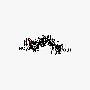 CC(C)C[C@H](NC(=O)[C@H](CC(N)=O)NC(=O)[C@H](CCC(N)=O)NC(=O)CNC(=O)[C@H](CO)NC(=O)[C@H](CCC(=O)O)NC(=O)[C@@H](NC(=O)[C@@H](N)CS)[C@@H](C)O)C(=O)N[C@@H](CS)C(=O)N[C@@H](CC(C)C)C(=O)N[C@@H](CS)C(=O)N[C@@H](CCC(=O)O)C(=O)NCC(=O)N[C@@H](CO)C(=O)N[C@@H](CC(N)=O)C(=O)O